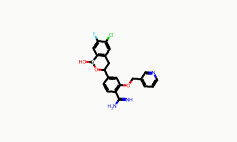 N=C(N)c1ccc(C2Cc3cc(Cl)c(F)cc3B(O)O2)cc1OCc1cccnc1